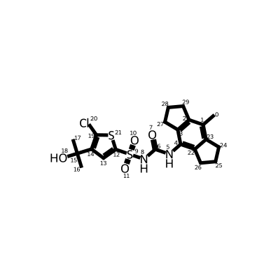 Cc1c2c(c(NC(=O)NS(=O)(=O)c3cc(C(C)(C)O)c(Cl)s3)c3c1CCC3)CCC2